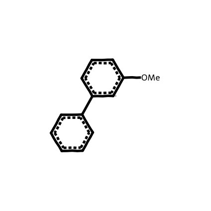 COc1[c]c(-c2ccccc2)ccc1